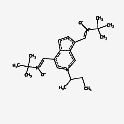 CCC(C)n1cc(/C=[N+](\[O-])C(C)(C)C)c2ccc(/C=[N+](\[O-])C(C)(C)C)c-2c1